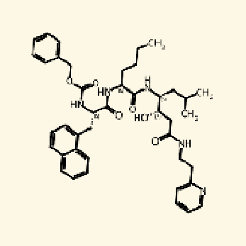 CCCC[C@H](NC(=O)[C@H](Cc1cccc2ccccc12)NC(=O)OCc1ccccc1)C(=O)N[C@@H](CC(C)C)[C@@H](O)CC(=O)NCCc1ccccn1